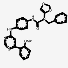 COc1ccccc1-c1cc(Nc2ccc(NC(=O)N(Cc3ccccc3)C3=COCO3)cc2)ncn1